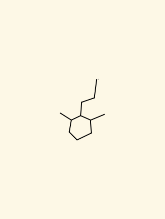 [CH2]CCC1C(C)CCCC1C